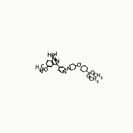 COC(OC)[C@H]1CC[C@H](OC2CCN(c3cc(-c4nn(PI)c5ccc(OC6(C)CC6)cc45)ccn3)CC2)CC1